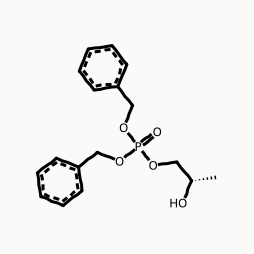 C[C@H](O)COP(=O)(OCc1ccccc1)OCc1ccccc1